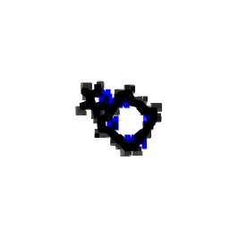 Cc1nc(-c2c3nc(cc4ccc(cc5nc(cc6ccc2[nH]6)C=C5)[nH]4)C=C3)c(C)c(C)c1C